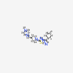 Cc1ccc(-c2cnc3sc(N4CCC(CN5CCN(C)CC5)CC4)nn23)cc1